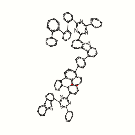 c1ccc(-c2nc(-c3ccccc3-c3ccccc3-c3ccc(-c4ccc(-c5cccc6sc7c(-c8nc(-c9ccccc9)nc(-c9ccccc9-c9ccccc9-c9ccccc9-c9ccccc9)n8)cccc7c56)cc4)c4ccccc34)nc(-c3cccc4c3sc3ccccc34)n2)cc1